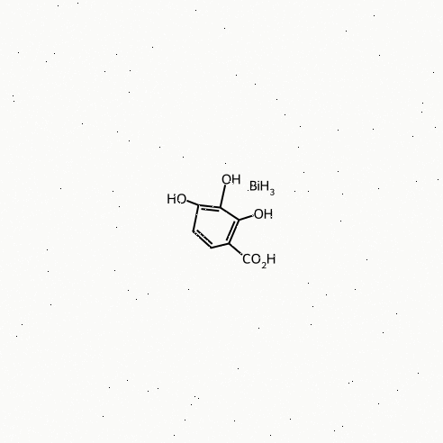 O=C(O)c1ccc(O)c(O)c1O.[BiH3]